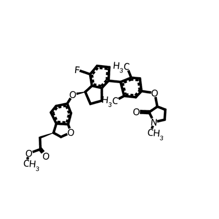 COC(=O)C[C@@H]1COc2cc(O[C@@H]3CCc4c(-c5c(C)cc(OC6CCN(C)C6=O)cc5C)ccc(F)c43)ccc21